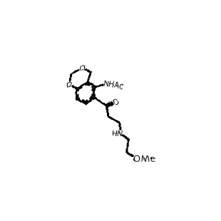 COCCNCCC(=O)c1ccc2c(c1NC(C)=O)COCO2